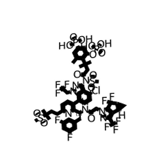 Cc1cc(P(=O)(O)O)cc(OP(=O)(O)O)c1C(C)(C)CC(=O)N(c1nn(CC(F)(F)F)c2c(-c3ccc(CCC(C)(C)S(C)(=O)=O)nc3[C@H](Cc3cc(F)cc(F)c3)NC(=O)Cn3nc(C(F)(F)F)c4c3C(F)(F)C3C[C@H]43)ccc(Cl)c12)S(C)(=O)=O